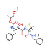 CCOCC(C)OC(=O)N[C@@H](Cc1ccccc1)[C@H](O)C(=O)N1CSC(C)(C)[C@H]1C(=O)NCc1ccccc1C